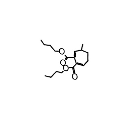 CCCCOC(=O)C1=CCCC(C)C=C1C(=O)OCCCC